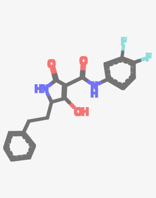 O=C(Nc1ccc(F)c(F)c1)C1=C(O)C(CCc2ccccc2)NC1=O